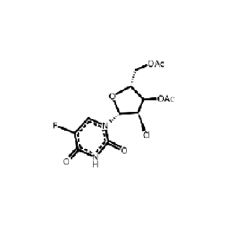 CC(=O)OC[C@H]1O[C@@H](n2cc(F)c(=O)[nH]c2=O)[C@H](Cl)[C@@H]1OC(C)=O